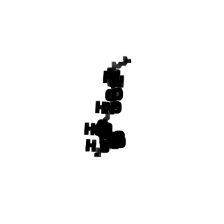 B[C@H]1C[C@@H](OP(=O)(O)OC)C(COP(=O)(O)OCCCCCNC(=O)CCC(=O)O[C@H]2CC[C@@]3(C)C(=CC[C@@H]4[C@@H]3CC[C@]3(C)C(C(C)CCCC(C)C)CC[C@@H]43)C2)O1